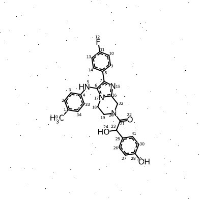 Cc1ccc(Nc2c(-c3ccc(F)cc3)nc3n2CCN(C(=O)C(O)c2ccc(O)cc2)C3)cc1